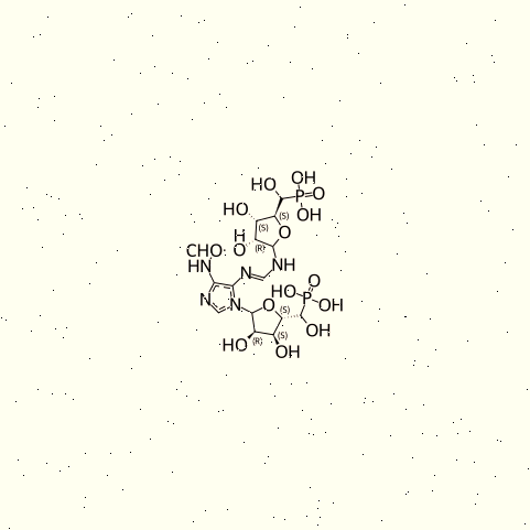 O=[C]Nc1ncn(C2O[C@H](C(O)P(=O)(O)O)[C@@H](O)[C@H]2O)c1N=CNC1O[C@H](C(O)P(=O)(O)O)[C@@H](O)[C@H]1O